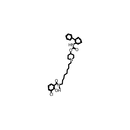 CN(CCCCCCCCCN1CCC(OC(=O)Nc2ccccc2-c2ccccc2)CC1)C(=O)c1cccc(Cl)c1O